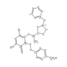 CN(Cc1c(Cl)cc(Cl)c(=O)n1CCc1ccc(C(=O)O)cc1)C1CCN(Cc2ccccc2)C1